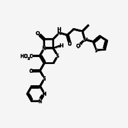 CC(CC(=O)NC1C(=O)N2C(C(=O)O)=C(C(=O)Sc3cccnn3)CS[C@@H]12)[S+]([O-])c1cccs1